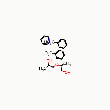 CC(O)COC(C)CO.O=C(O)c1ccccc1.O=C(O)c1ccccc1.c1ccncc1